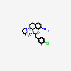 CN(C(=O)Cc1ccc(Cl)c(Cl)c1)[C@H]1c2cc(N)ccc2CC[C@@H]1N1CCCC1